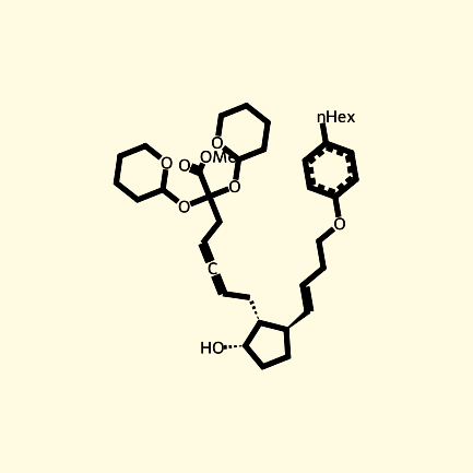 CCCCCCc1ccc(OCC/C=C/[C@H]2CC[C@H](O)[C@@H]2CC=C=CCC(OC2CCCCO2)(OC2CCCCO2)C(=O)OC)cc1